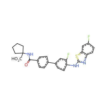 O=C(NC1(C(=O)O)CCCC1)c1ccc(-c2ccc(Nc3nc4ccc(F)cc4s3)c(F)c2)cc1